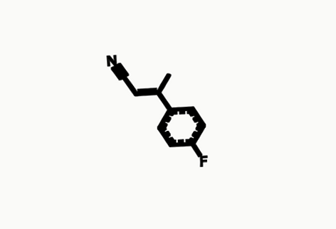 CC(=CC#N)c1ccc(F)cc1